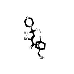 CC(C)(C=C(C#N)C(=O)N1[C@H]2CC[C@]1(CO)CC2)N1CCOCC1